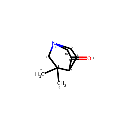 CC1(C)CN2CCC1C(=O)C2